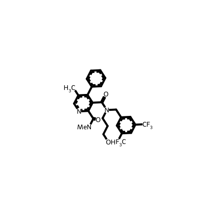 CNC(=O)c1ncc(C)c(-c2ccccc2)c1C(=O)N(CCCO)Cc1cc(C(F)(F)F)cc(C(F)(F)F)c1